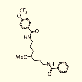 COC(CCCNC(=O)c1ccccc1)CCCNC(=O)c1ccc(OC(F)(F)F)cc1